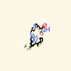 O=C1NC(=O)C(=Cc2ccnc(N3CCC(CNCc4cc(C(F)(F)F)cc(-c5csc6ccccc56)n4)CC3)n2)S1